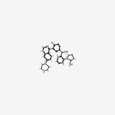 OC(c1ccc(F)c(-c2ncnc3cc(N4CCOCC4)ccc23)c1)c1nccnc1N1CCCC1O